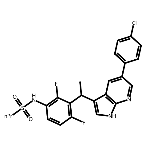 CCCS(=O)(=O)Nc1ccc(F)c(C(C)c2c[nH]c3ncc(-c4ccc(Cl)cc4)cc23)c1F